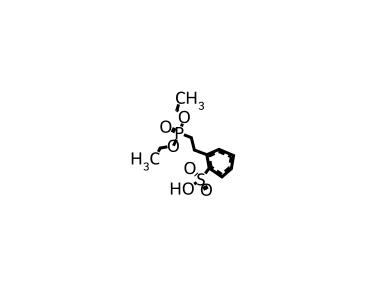 CCOP(=O)(CCc1ccccc1S(=O)(=O)O)OCC